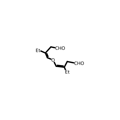 CCC(=COC=C(CC)CC=O)CC=O